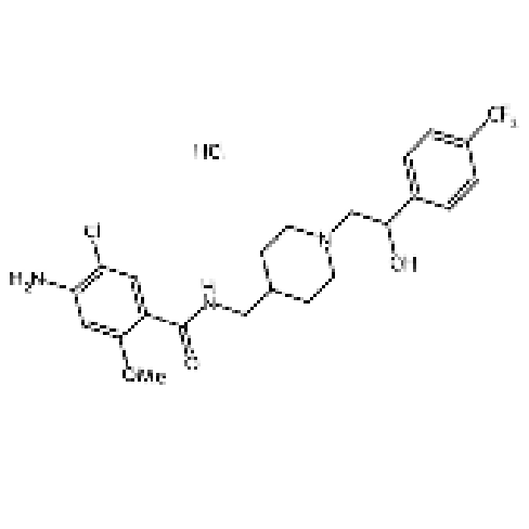 COc1cc(N)c(Cl)cc1C(=O)NCC1CCN(CC(O)c2ccc(C(F)(F)F)cc2)CC1.Cl